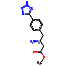 COC(=O)C[C@@H](N)Cc1ccc(-c2nn[nH]n2)cc1